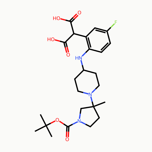 CC(C)(C)OC(=O)N1CCC(C)(N2CCC(Nc3ccc(F)cc3C(C(=O)O)C(=O)O)CC2)C1